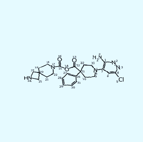 Nc1nnc(Cl)cc1N1CCC(C(=O)OC(=O)N2CCC3(CC2)CNC3)(c2ccccc2)CC1